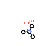 OB(O)c1cccc(-c2nc(-c3ccccc3)cc(-c3ccccc3)n2)c1